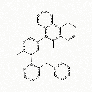 CNc1c2c(c3ccccc3c1-c1ccc(C)c(-c3ccccc3Cc3ccccc3)c1)CCC=C2